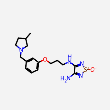 CC1CCN(Cc2cccc(OCCCNc3n[s+]([O-])nc3N)c2)C1